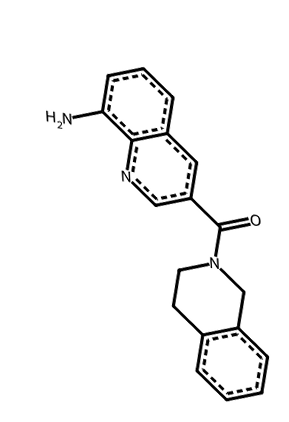 Nc1cccc2cc(C(=O)N3CCc4ccccc4C3)cnc12